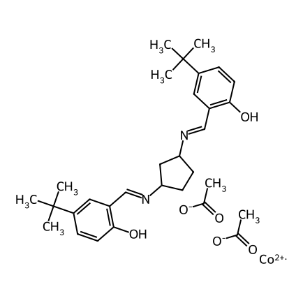 CC(=O)[O-].CC(=O)[O-].CC(C)(C)c1ccc(O)c(C=NC2CCC(N=Cc3cc(C(C)(C)C)ccc3O)C2)c1.[Co+2]